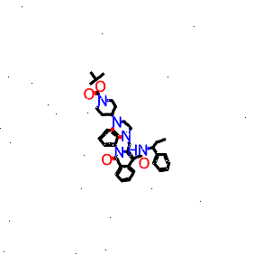 CCC(NC(=O)c1c(CN2CCN(C3CCN(C(=O)OC(C)(C)C)CC3)CC2)n(-c2ccccc2)c(=O)c2ccccc12)c1ccccc1